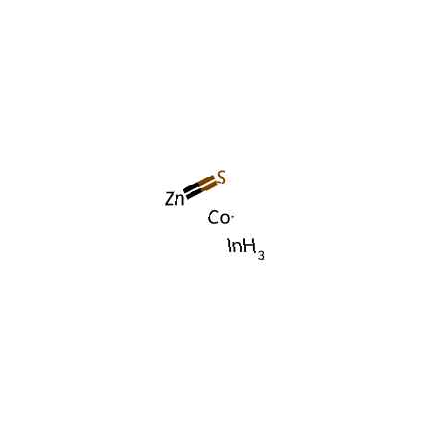 [Co].[InH3].[S]=[Zn]